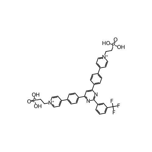 O=P(O)(O)CC[n+]1ccc(-c2ccc(-c3cc(-c4ccc(-c5cc[n+](CCP(=O)(O)O)cc5)cc4)nc(-c4cccc(C(F)(F)F)c4)n3)cc2)cc1